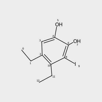 CCc1cc(O)c(O)c(I)c1CC